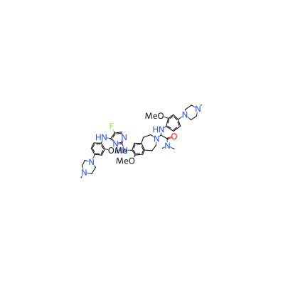 COc1cc2c(cc1Nc1ncc(F)c(Nc3ccc(N4CCN(C)CC4)cc3OC)n1)CCN(C(Nc1ccc(N3CCN(C)CC3)cc1OC)C(=O)N(C)C)CC2